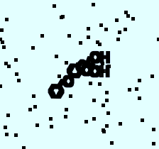 OCC1(CO)Cc2ccc(OCc3ccccc3)cc2O1